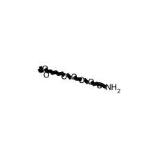 CC(C)(C)OC(=O)CCCCCOCCOCCOCCOCCOCCN